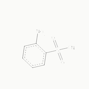 N#CS(=O)(=O)c1ccccc1[N+](=O)[O-]